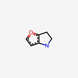 c1cc2c(o1)CC[N]2